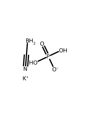 BC#N.O=P([O-])(O)O.[K+]